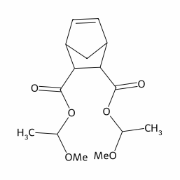 COC(C)OC(=O)C1C2C=CC(C2)C1C(=O)OC(C)OC